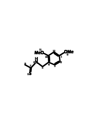 COc1ccc(CNC(C)=S)c(OC)c1